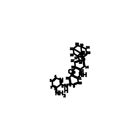 Nc1cccnc1Nc1ccc(Nc2ccc(C34CC5CC(CC(C5)C3)C4)cc2Cl)cc1